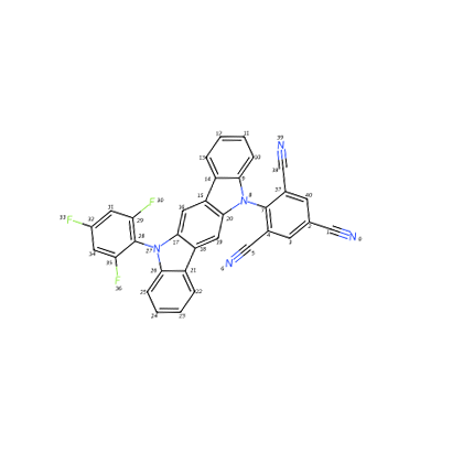 N#Cc1cc(C#N)c(-n2c3ccccc3c3cc4c(cc32)c2ccccc2n4-c2c(F)cc(F)cc2F)c(C#N)c1